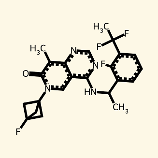 Cc1c(=O)n(C23CC(F)(C2)C3)cc2c(NC(C)c3cccc(C(C)(F)F)c3F)ncnc12